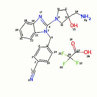 N#Cc1ccc(Cn2c(N3CCC(O)(CN)C3)nc3ccccc32)cc1.O=C(O)C(F)(F)F